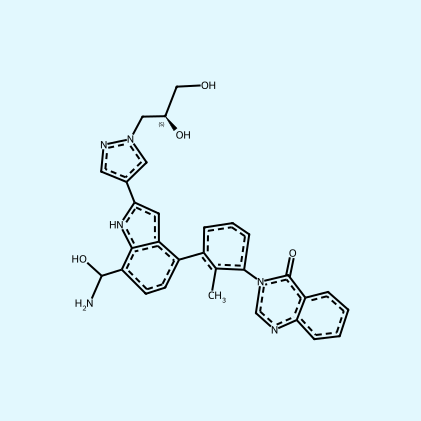 Cc1c(-c2ccc(C(N)O)c3[nH]c(-c4cnn(C[C@H](O)CO)c4)cc23)cccc1-n1cnc2ccccc2c1=O